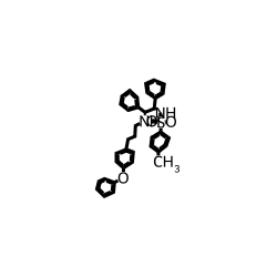 Cc1ccc(S(=O)(=O)N[C@H](c2ccccc2)[C@@H](NCCCc2ccc(Oc3ccccc3)cc2)c2ccccc2)cc1